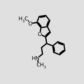 CNCCC(c1ccccc1)c1cc2cccc(OC)c2o1